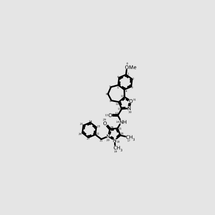 COc1ccc2c(c1)CCCc1c(C(=O)Nc3c(C)n(C)n(Cc4ccccc4)c3=O)noc1-2